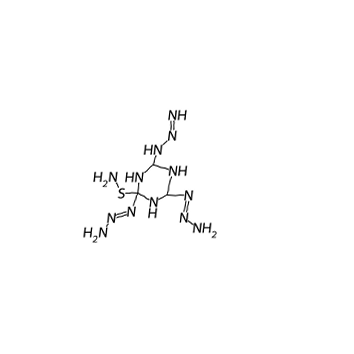 N=NNC1NC(N=NN)NC(N=NN)(SN)N1